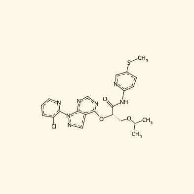 CSc1ccc(NC(=O)[C@H](COC(C)C)Oc2ncnc3c2cnn3-c2ncccc2Cl)nc1